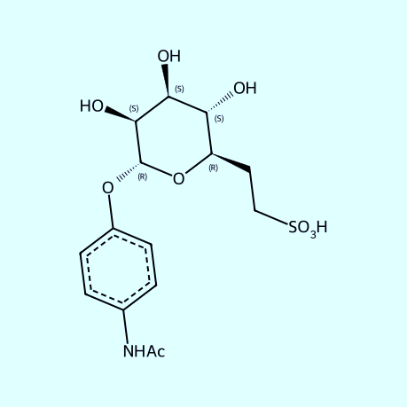 CC(=O)Nc1ccc(O[C@H]2O[C@H](CCS(=O)(=O)O)[C@@H](O)[C@H](O)[C@@H]2O)cc1